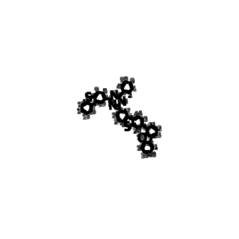 c1ccc(-c2nc(-c3ccc4sc5ccccc5c4c3)nc(-c3ccc4sc5cc(-c6cccc7c6oc6ccccc67)ccc5c4c3)n2)cc1